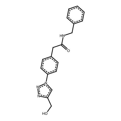 O=C(Cc1ccc(-n2cc(CO)nn2)cc1)NCc1ccccc1